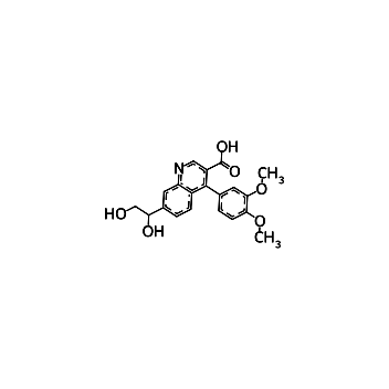 COc1ccc(-c2c(C(=O)O)cnc3cc(C(O)CO)ccc23)cc1OC